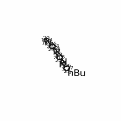 CCCCc1ccc(/N=N/c2ccc(/C=N/c3ccc(N4CCCC4)cc3)cc2)cc1